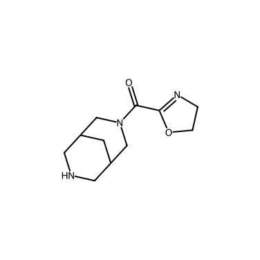 O=C(C1=NCCO1)N1CC2CNCC(C2)C1